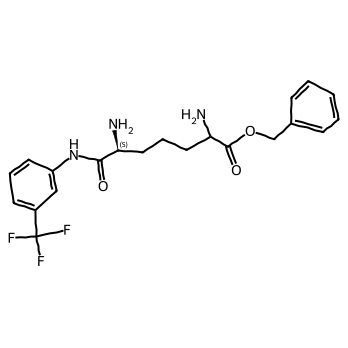 NC(CCC[C@H](N)C(=O)Nc1cccc(C(F)(F)F)c1)C(=O)OCc1ccccc1